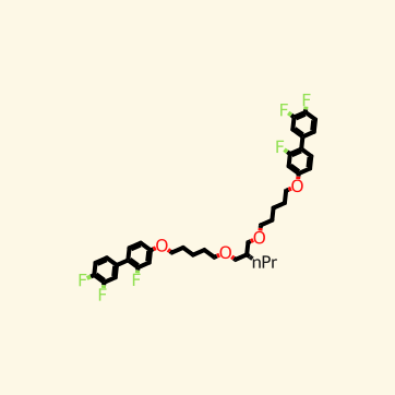 CCCC(COCCCCCOc1ccc(-c2ccc(F)c(F)c2)c(F)c1)COCCCCCOc1ccc(-c2ccc(F)c(F)c2)c(F)c1